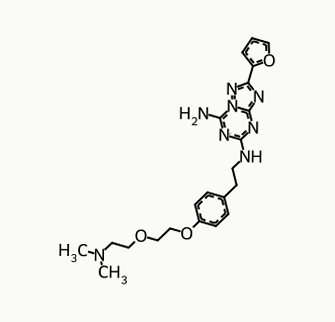 CN(C)CCOCCOc1ccc(CCNc2nc(N)n3nc(-c4ccco4)nc3n2)cc1